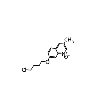 Cc1cc2ccc(OCCCCCl)cc2[n+]([O-])c1